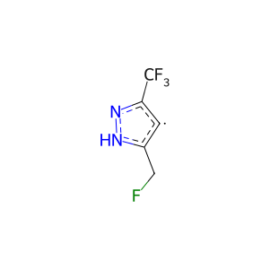 FCc1[c]c(C(F)(F)F)n[nH]1